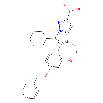 O=C(O)c1cc2n3c(c(C4CCCCC4)n2n1)-c1ccc(OCc2ccccc2)cc1OCC3